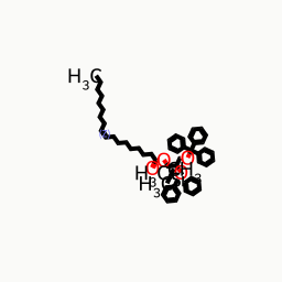 CCCCCCCC/C=C\CCCCCCCC(=O)OCC(COC(c1ccccc1)(c1ccccc1)c1ccccc1)O[Si](c1ccccc1)(c1ccccc1)C(C)(C)C